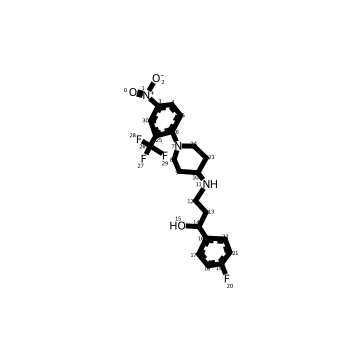 O=[N+]([O-])c1ccc(N2CCC(NCCC(O)c3ccc(F)cc3)CC2)c(C(F)(F)F)c1